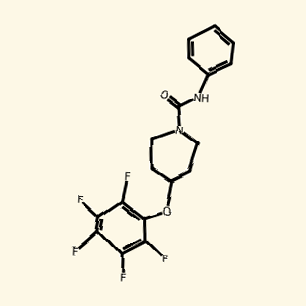 O=C(Nc1ccccc1)N1CCC(Oc2c(F)c(F)c(F)c(F)c2F)CC1